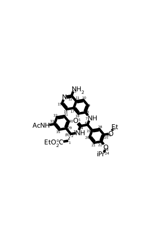 CCOC(=O)C[C@@H](NC(=O)C(Nc1ccc2c(N)nccc2c1)c1ccc(OC(C)C)c(OCC)c1)c1cccc(NC(C)=O)c1